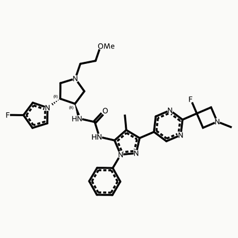 COCCN1C[C@@H](n2ccc(F)c2)[C@H](NC(=O)Nc2c(C)c(-c3cnc(C4(F)CN(C)C4)nc3)nn2-c2ccccc2)C1